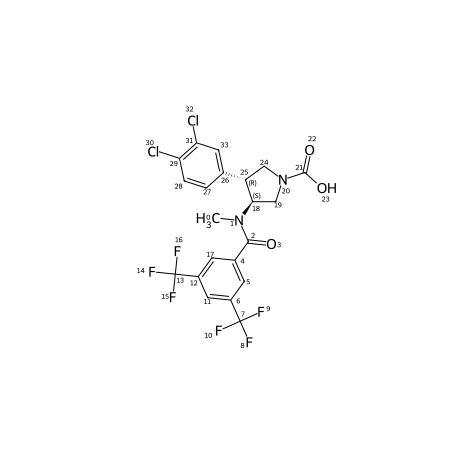 CN(C(=O)c1cc(C(F)(F)F)cc(C(F)(F)F)c1)[C@@H]1CN(C(=O)O)C[C@H]1c1ccc(Cl)c(Cl)c1